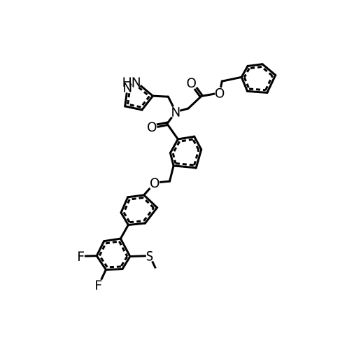 CSc1cc(F)c(F)cc1-c1ccc(OCc2cccc(C(=O)N(CC(=O)OCc3ccccc3)Cc3ccn[nH]3)c2)cc1